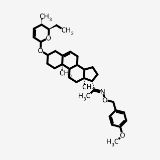 CC[C@H]1OC(OC2CC[C@@]3(C)C(=CCC4C3CC[C@@]3(C)C4CC[C@@H]3/C(C)=N/OCc3ccc(OC)cc3)C2)C=C[C@@H]1C